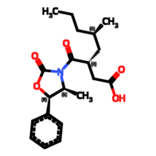 CCC[C@@H](C)C[C@H](CC(=O)O)C(=O)N1C(=O)O[C@H](c2ccccc2)[C@@H]1C